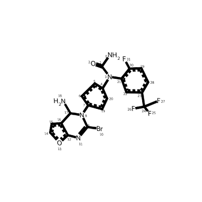 NC(=O)N(c1ccc(N2C(Br)=Nc3occc3C2N)cc1)c1cc(C(F)(F)F)ccc1F